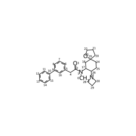 CN(C(=O)Cc1cccc(-c2ccccc2)c1)C1CC2(CCCO2)CCC1N1CCC1